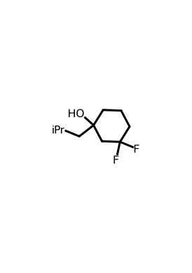 CC(C)CC1(O)CCCC(F)(F)C1